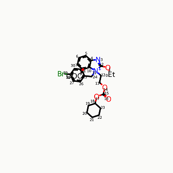 CCOC1=Nc2cccc(C(=O)[O-])c2[N+]1(CCOC(=O)OC1CCCCC1)Cc1ccc(Br)cc1